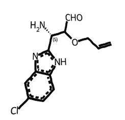 C=CCOC(C=O)[C@@H](N)c1nc2cc(Cl)ccc2[nH]1